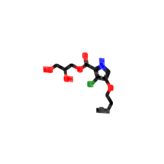 CCCCCCCCCCCCOc1c[nH]c(C(=O)OCC(O)CO)c1Cl